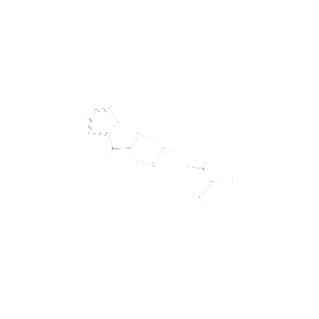 CC(=CC(C)C)C(=O)OOc1ccc(C(=O)c2ccccc2)c(O)c1